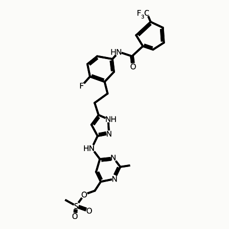 Cc1nc(COS(C)(=O)=O)cc(Nc2cc(CCc3cc(NC(=O)c4cccc(C(F)(F)F)c4)ccc3F)[nH]n2)n1